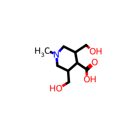 CN1CC(CO)C(C(=O)O)C(CO)C1